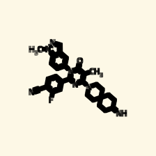 Cc1c(N2CCC3(CCC(=N)CC3)CC2)nc(-c2ccc(C#N)c(F)c2)n(-c2ccc3c(cnn3C)c2)c1=O